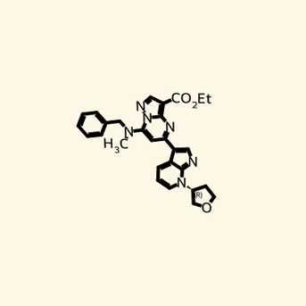 CCOC(=O)c1cnn2c(N(C)Cc3ccccc3)cc(-c3cnc4n([C@@H]5CCOC5)cccc3-4)nc12